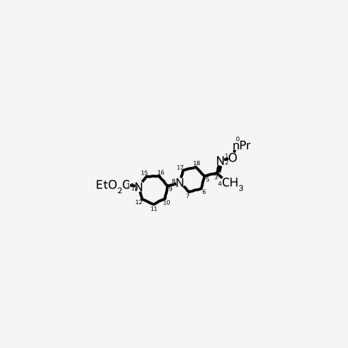 CCCON=C(C)C1CCN(C2CCCN(C(=O)OCC)CC2)CC1